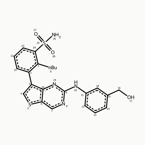 CCCCc1c(-c2csc3cnc(Nc4cccc(CO)c4)nc23)cccc1S(N)(=O)=O